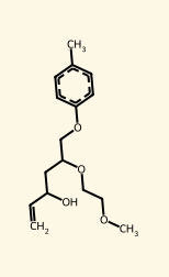 C=CC(O)CC(COc1ccc(C)cc1)OCCOC